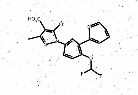 CCc1c(C(=O)O)c(C)nn1-c1ccc(OC(F)F)c(-c2ccccn2)c1